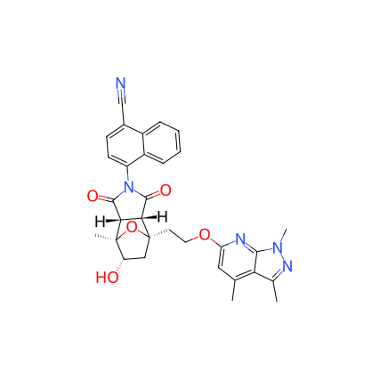 Cc1cc(OCC[C@]23C[C@H](O)[C@](C)(O2)[C@@H]2C(=O)N(c4ccc(C#N)c5ccccc45)C(=O)[C@@H]23)nc2c1c(C)nn2C